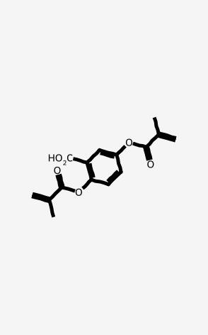 C=C(C)C(=O)Oc1ccc(OC(=O)C(=C)C)c(C(=O)O)c1